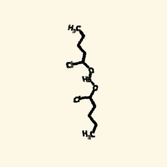 CCCCC(Cl)OBOC(Cl)CCCC